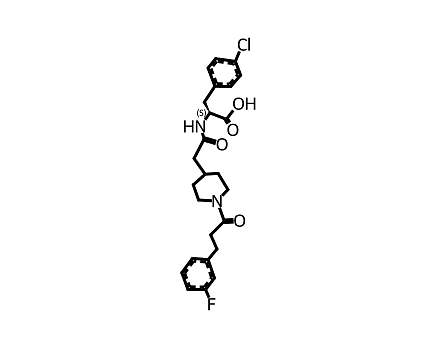 O=C(CC1CCN(C(=O)CCc2cccc(F)c2)CC1)N[C@@H](Cc1ccc(Cl)cc1)C(=O)O